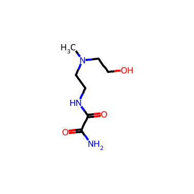 CN(CCO)CCNC(=O)C(N)=O